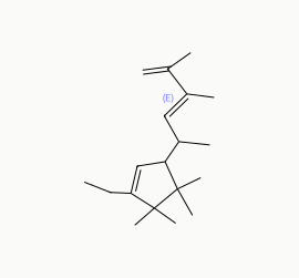 C=C(C)/C(C)=C/C(C)C1C=C(CC)C(C)(C)C1(C)C